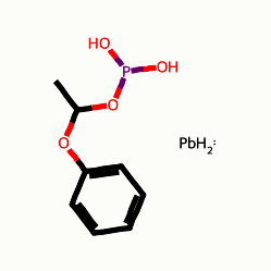 CC(Oc1ccccc1)OP(O)O.[PbH2]